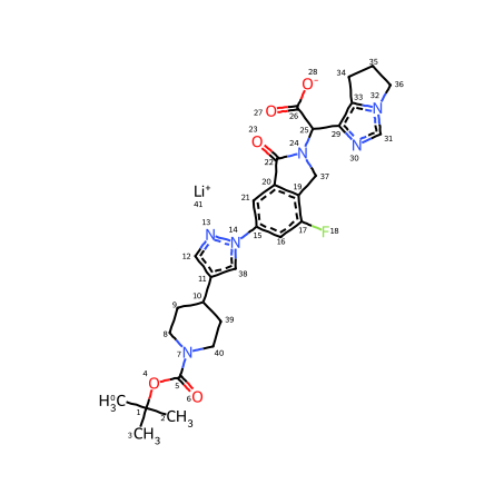 CC(C)(C)OC(=O)N1CCC(c2cnn(-c3cc(F)c4c(c3)C(=O)N(C(C(=O)[O-])c3ncn5c3CCC5)C4)c2)CC1.[Li+]